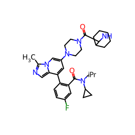 Cc1ncc2c(-c3ccc(F)cc3C(=O)N(C(C)C)C3CC3)cc(N3CCN(C(=O)C4NC5CCC4CC5)CC3)cn12